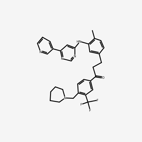 Cc1ccc(CCC(=O)c2ccc(CN3CCCCC3)c(C(F)(F)F)c2)cc1Nc1cc(-c2cccnc2)ncn1